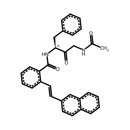 CC(=O)NCC(=O)[C@H](Cc1ccccc1)NC(=O)c1ccccc1C=Cc1ccc2ccccc2c1